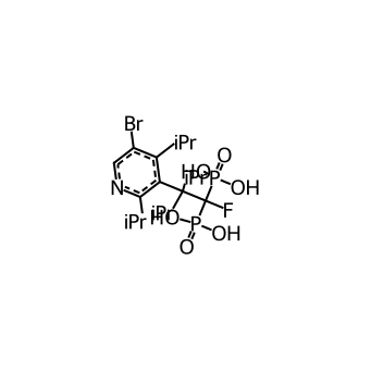 CC(C)c1ncc(Br)c(C(C)C)c1C(C(C)C)(C(C)C)C(F)(P(=O)(O)O)P(=O)(O)O